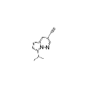 C#Cc1cnn2c(C(C)C)ccc2c1